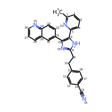 Cc1cccc(-c2[nH]c(CCc3ccc(C#N)cc3)nc2-c2ccc3ncccc3c2)n1